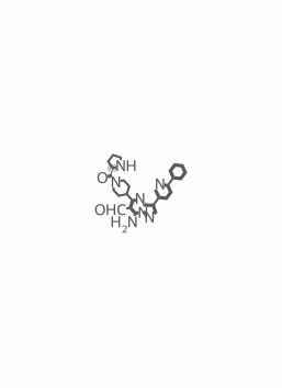 Nc1c(C=O)c(C2CCN(C(=O)[C@H]3CCCN3)CC2)nc2c(-c3ccc(-c4ccccc4)nc3)cnn12